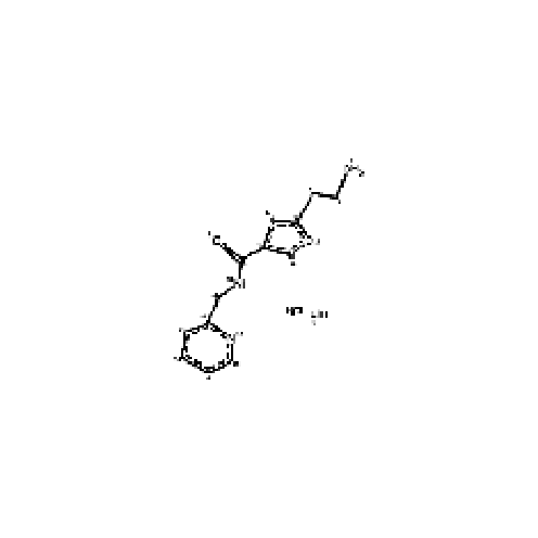 Cl.Cl.NCCc1nc(C(=O)NCc2ccccn2)no1